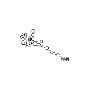 CC(=O)OC[C@H]1O[C@@H](Oc2ccc(C(=O)NCCOCCOCCOCCN=[N+]=[N-])cc2O)[C@H](OC(C)=O)[C@@H](OC(C)=O)[C@H]1OC(C)=O